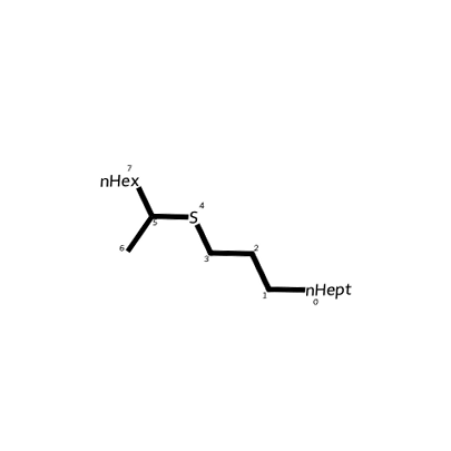 CCCCCCCCCCSC(C)CCCCCC